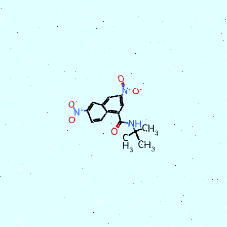 CC(C)(C)NC(=O)c1cc([N+](=O)[O-])cc2cc([N+](=O)[O-])ccc12